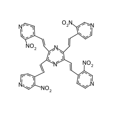 O=[N+]([O-])c1cnccc1C=Cc1nc(C=Cc2ccncc2[N+](=O)[O-])c(C=Cc2ccncc2[N+](=O)[O-])nc1C=Cc1ccncc1[N+](=O)[O-]